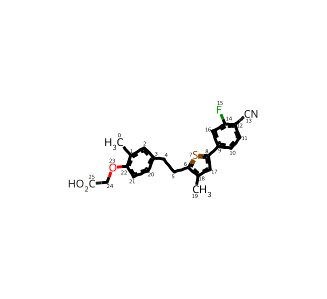 Cc1cc(CCc2sc(-c3ccc(C#N)c(F)c3)cc2C)ccc1OCC(=O)O